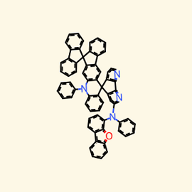 c1ccc(N2c3ccccc3C3(c4cc5c(cc42)C2(c4ccccc4-c4ccccc42)c2ccccc2-5)c2cccnc2-c2ncc(N(c4ccccc4)c4cccc5c4oc4ccccc45)cc23)cc1